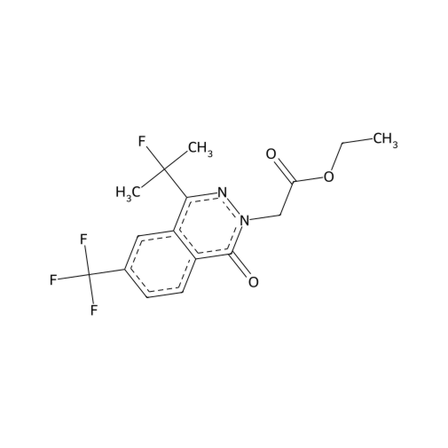 CCOC(=O)Cn1nc(C(C)(C)F)c2cc(C(F)(F)F)ccc2c1=O